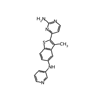 Cc1c(-c2ccnc(N)n2)sc2ccc(Nc3cccnc3)cc12